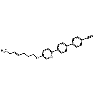 CC/C=C/CCCOc1ccc(-c2ccc(-c3ccc(C#N)cc3)cc2)nc1